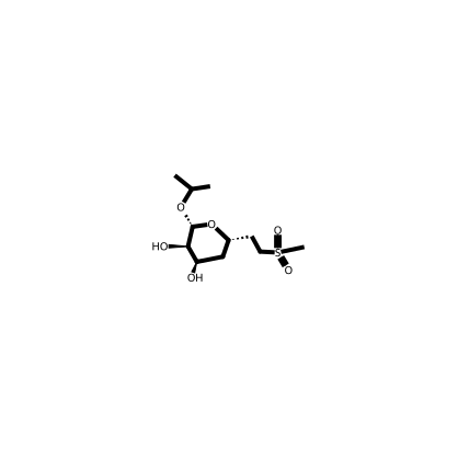 CC(C)O[C@@H]1O[C@H](CCS(C)(=O)=O)C[C@@H](O)[C@H]1O